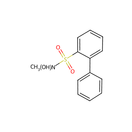 CN(O)S(=O)(=O)c1ccccc1-c1ccccc1